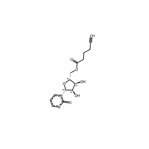 C#CCCCC(=O)OC[C@H]1O[C@@H](n2cccnc2=O)[C@H](O)[C@@H]1O